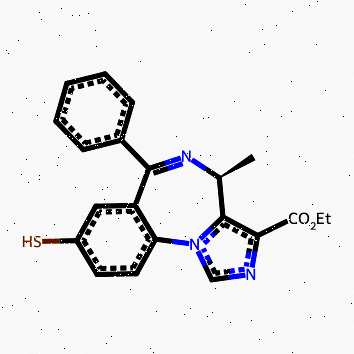 CCOC(=O)c1ncn2c1[C@H](C)N=C(c1ccccc1)c1cc(S)ccc1-2